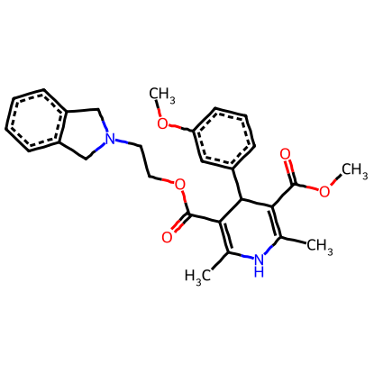 COC(=O)C1=C(C)NC(C)=C(C(=O)OCCN2Cc3ccccc3C2)C1c1cccc(OC)c1